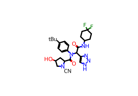 CC(C)(C)c1ccc(N(C(=O)C2CC(O)CN2C#N)C(C(=O)NC2CCC(F)(F)CC2)c2c[nH]nn2)cc1